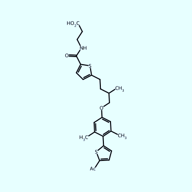 CC(=O)c1ccc(-c2c(C)cc(OCC(C)CCc3ccc(C(=O)NCCC(=O)O)s3)cc2C)s1